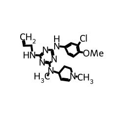 C=CCNc1nc(Nc2ccc(OC)c(Cl)c2)nc(N(C)C2C=CN(C)CC2)n1